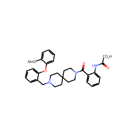 COc1ccccc1Oc1ccccc1CN1CCC2(CC1)CCN(C(=O)c1ccccc1NC(=O)C(=O)O)CC2